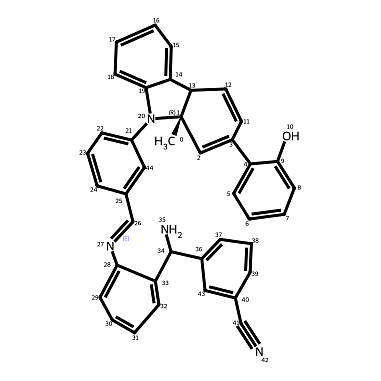 C[C@]12C=C(c3ccccc3O)C=CC1c1ccccc1N2c1cccc(/C=N/c2ccccc2C(N)c2cccc(C#N)c2)c1